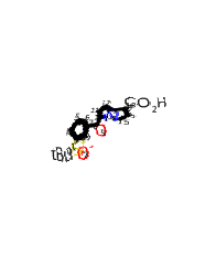 CC(C)(C)[S+]([O-])c1cccc(C(=O)c2ccc3n2CCC3C(=O)O)c1